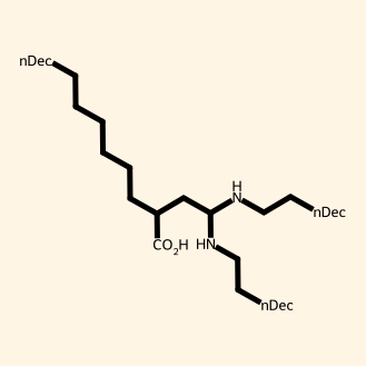 CCCCCCCCCCCCCCCCC(CC(NCCCCCCCCCCCC)NCCCCCCCCCCCC)C(=O)O